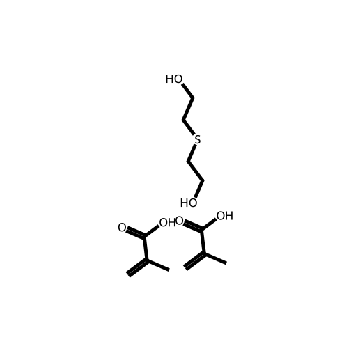 C=C(C)C(=O)O.C=C(C)C(=O)O.OCCSCCO